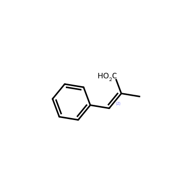 C/C(=C/c1ccccc1)C(=O)O